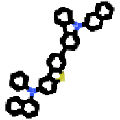 c1ccc(N(c2ccc3sc4cc(-c5ccc6c(c5)c5ccccc5n6-c5ccc6ccccc6c5)ccc4c3c2)c2cccc3ccccc23)cc1